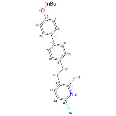 CCCCOc1ccc(-c2ccc(CCc3ccc(F)nc3F)cc2)cc1